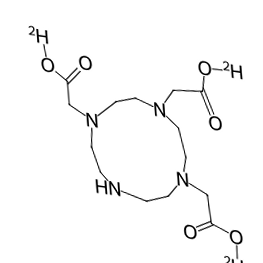 [2H]OC(=O)CN1CCNCCN(CC(=O)O[2H])CCN(CC(=O)O[2H])CC1